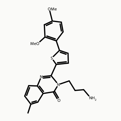 COc1ccc(-c2ccc(-c3nc4ccc(C)cc4c(=O)n3CCCN)s2)c(OC)c1